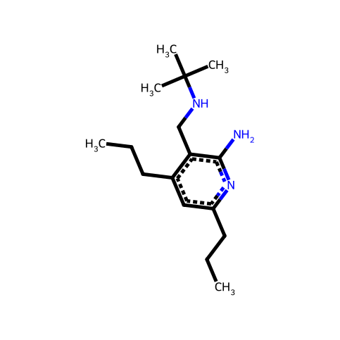 CCCc1cc(CCC)c(CNC(C)(C)C)c(N)n1